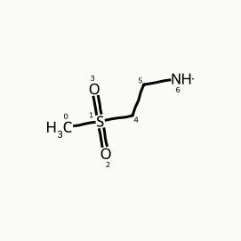 CS(=O)(=O)CC[NH]